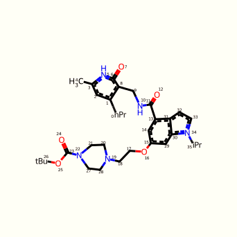 CCCc1cc(C)[nH]c(=O)c1CNC(=O)c1cc(OCCN2CCN(C(=O)OC(C)(C)C)CC2)cc2c1ccn2C(C)C